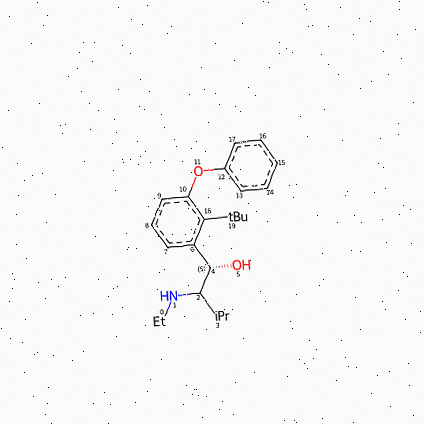 CCNC(C(C)C)[C@@H](O)c1cccc(Oc2ccccc2)c1C(C)(C)C